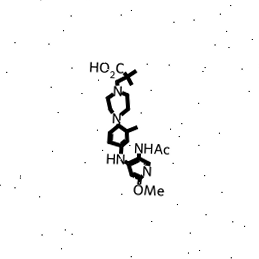 COc1cc(NC2=CC(C)C(N3CCN(CC(C)(C)C(=O)O)CC3)C=C2)c(NC(C)=O)cn1